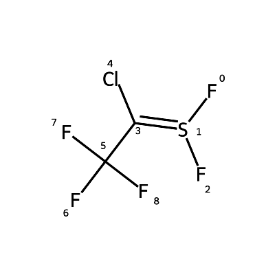 FS(F)=C(Cl)C(F)(F)F